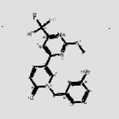 CSc1nc(-c2ccc(=O)n(Cc3cccc(Br)c3)c2)cc(C(F)(F)F)n1